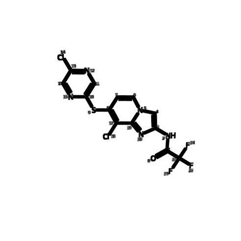 O=C(Nc1cn2ccc(Sc3cnc(Cl)cn3)c(Cl)c2n1)C(F)(F)F